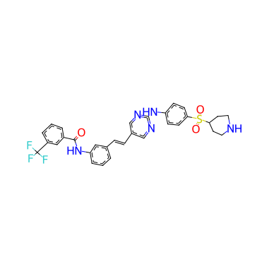 O=C(Nc1cccc(/C=C/c2cnc(Nc3ccc(S(=O)(=O)C4CCNCC4)cc3)nc2)c1)c1cccc(C(F)(F)F)c1